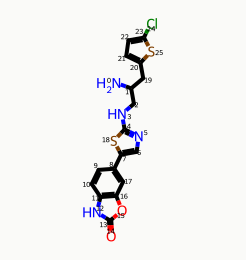 NC(CNc1ncc(-c2ccc3[nH]c(=O)oc3c2)s1)Cc1ccc(Cl)s1